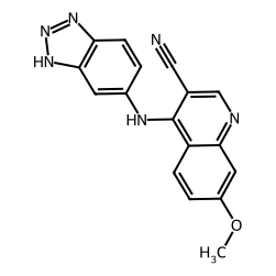 COc1ccc2c(Nc3ccc4nn[nH]c4c3)c(C#N)cnc2c1